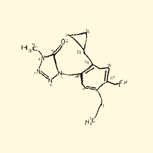 CCc1cc(-n2nnn(C)c2=O)c(C2CC2)cc1F